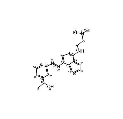 CCN(CC)CCNc1ccc(/N=N/c2cccc(C(C)O)c2)c2ccccc12